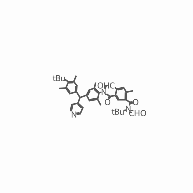 Cc1cc(C=O)c(C(=O)N(C)c2c(C)cc(C(c3ccncc3)c3cc(C)c(C(C)(C)C)c(C)c3)cc2C)cc1C(=O)N(C=O)C(C)(C)C